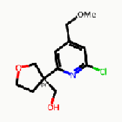 COCc1cc(Cl)nc([C@]2(CO)CCOC2)c1